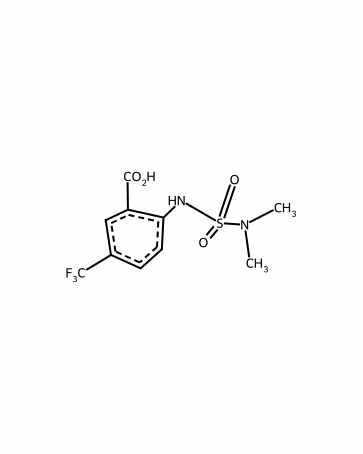 CN(C)S(=O)(=O)Nc1ccc(C(F)(F)F)cc1C(=O)O